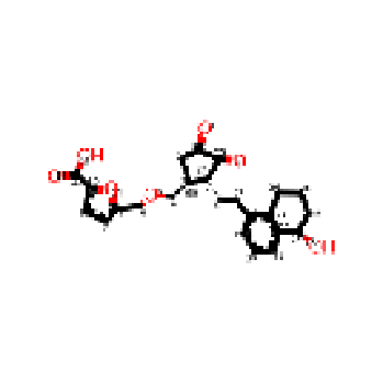 O=C1C[C@H](COCc2ccc(C(=O)O)o2)[C@@H](CCc2cccc3c2CCCC3O)C1=O